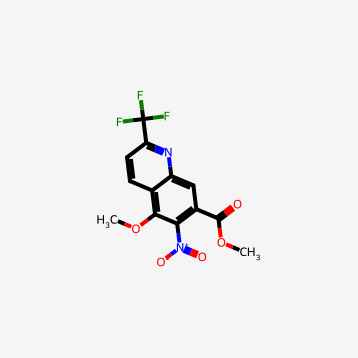 COC(=O)c1cc2nc(C(F)(F)F)ccc2c(OC)c1[N+](=O)[O-]